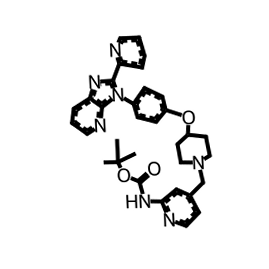 CC(C)(C)OC(=O)Nc1cc(CN2CCC(Oc3ccc(-n4c(-c5ccccn5)nc5cccnc54)cc3)CC2)ccn1